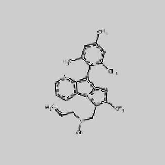 C=CCN(CCC)Cc1c(C(F)(F)F)nc2n(-c3c(C)cc(C)cc3C)c3ncccc3n12